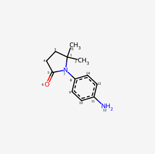 CC1(C)CCC(=O)N1c1ccc(N)cc1